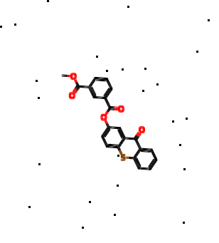 COC(=O)c1cccc(C(=O)Oc2ccc3sc4ccccc4c(=O)c3c2)c1